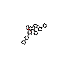 c1ccc(-c2ccc(-c3nc(-c4ccccc4)nc(-c4ccccc4-n4c5ccccc5c5ccc6sc7c(-c8ccccc8)cccc7c6c54)n3)cc2)cc1